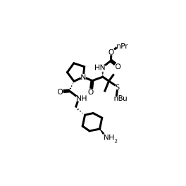 CCCCSC(C)(C)[C@@H](NC(=O)OCCC)C(=O)N1CCC[C@H]1C(=O)NC[C@H]1CC[C@H](N)CC1